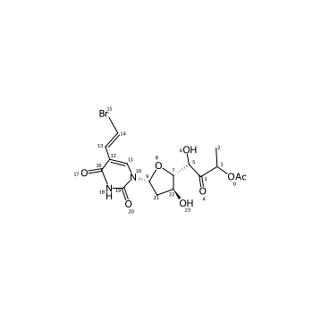 CC(=O)OC(C)C(=O)C(O)[C@H]1O[C@@H](n2cc(/C=C/Br)c(=O)[nH]c2=O)C[C@@H]1O